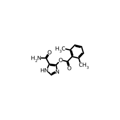 Cc1cccc(C)c1C(=O)Oc1nc[nH]c1C(N)=O